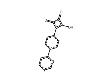 O=c1c(O)c(-c2ccc(-c3ccncn3)cc2)c1=O